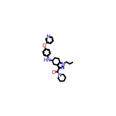 CCCn1nc(C(=O)N2CCCCC2)c2c1CCC(Nc1ccc(Oc3cccnc3)cc1)C2